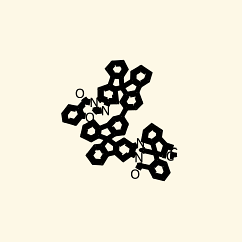 O=C1c2ccccc2C2(c3ccccc3-c3ccccc32)c2nc3cc4c(cc3n21)-c1ccccc1C41c2ccccc2-c2cc(-c3ccc4c(c3)C3(c5ccccc5-4)c4ccccc4-c4cc5c(cc43)nc3oc4ccccc4c(=O)n35)ccc21